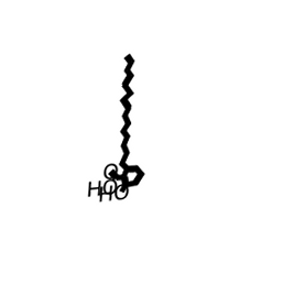 C=CCC=CCC=CCCCCCCCc1cccc(O)c1C(=O)O